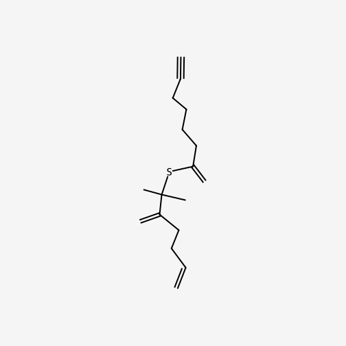 C#CCCCCC(=C)SC(C)(C)C(=C)CCC=C